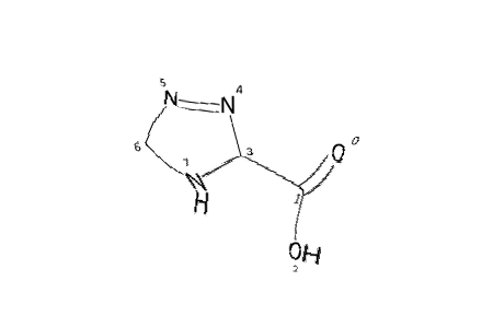 O=C(O)C1N=NCN1